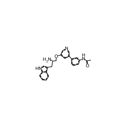 CC(=O)Nc1cccc(-c2cncc(OC[C@H](N)Cc3c[nH]c4ccccc34)c2)c1